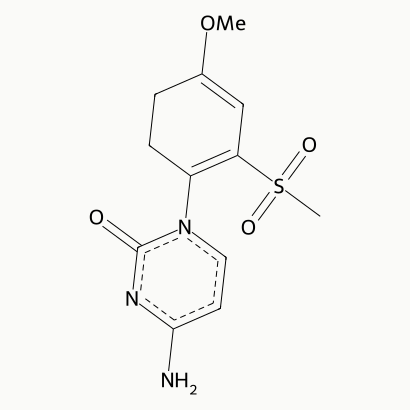 COC1=CC(S(C)(=O)=O)=C(n2ccc(N)nc2=O)CC1